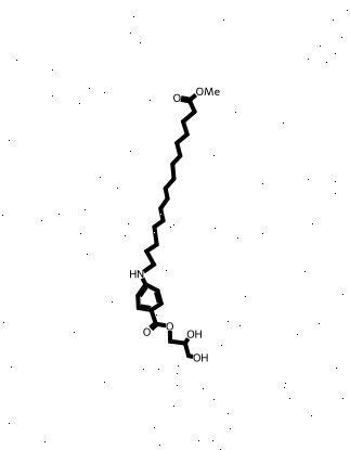 COC(=O)CCCCCCCCCCCCCCCNc1ccc(C(=O)OCC(O)CO)cc1